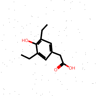 CCc1cc(CC(=O)O)cc(CC)c1O